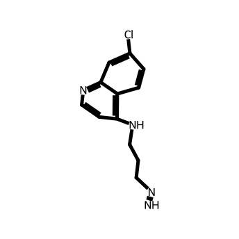 N=NCCCNc1ccnc2cc(Cl)ccc12